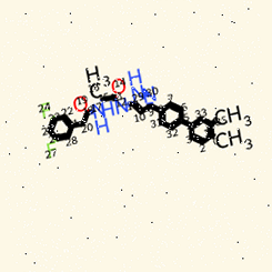 Cc1ccc(-c2ccc(-c3cc(NC(=O)C(C)NC(=O)Cc4cc(F)cc(F)c4)[nH]n3)cc2)cc1C